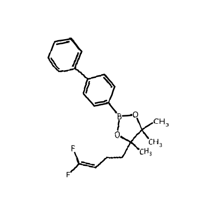 CC1(C)OB(c2ccc(-c3ccccc3)cc2)OC1(C)CCC=C(F)F